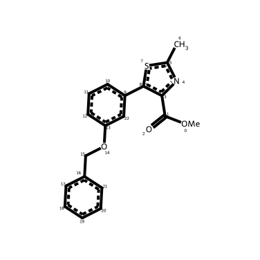 COC(=O)c1nc(C)sc1-c1cccc(OCc2ccccc2)c1